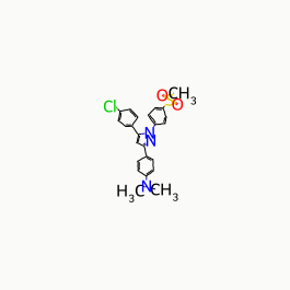 CN(C)c1ccc(-c2cc(-c3ccc(Cl)cc3)n(-c3ccc(S(C)(=O)=O)cc3)n2)cc1